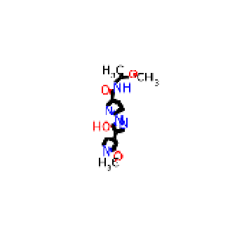 COCC(C)CNC(=O)c1ccc(-n2ncc(-c3ccnc(OC)c3)c2O)nc1